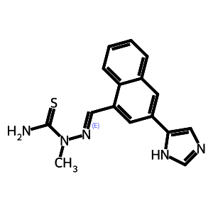 CN(/N=C/c1cc(-c2cnc[nH]2)cc2ccccc12)C(N)=S